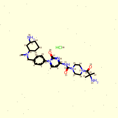 CN(Cc1ccc(-n2ccc(NC(=O)N3CCN(C(=O)C(C)(C)N)CC3)nc2=O)cc1)C1CCCC(N)C1.Cl